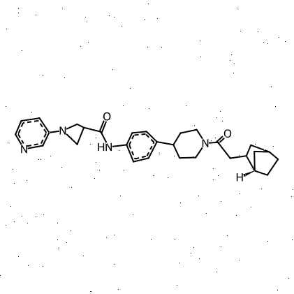 O=C(Nc1ccc(C2CCN(C(=O)CC3CC4CC[C@H]3C4)CC2)cc1)C1CN(c2cccnc2)C1